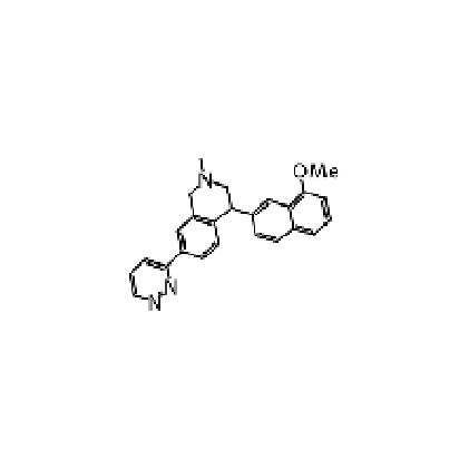 COc1cccc2ccc(C3CN(C)Cc4cc(-c5cccnn5)ccc43)cc12